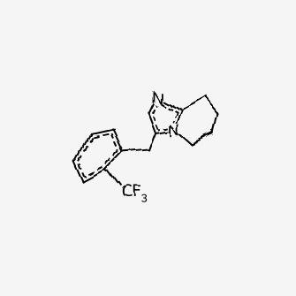 FC(F)(F)c1ccccc1Cc1cnc2n1CCCC2